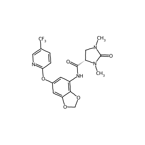 CN1C[C@@H](C(=O)Nc2cc(Oc3ccc(C(F)(F)F)cn3)cc3c2OCO3)N(C)C1=O